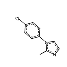 Cc1nccn1-c1ccc(Cl)cc1